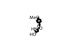 COc1ccc(COC(=O)[C@@H]2C[C@H](CO)CN2)cc1